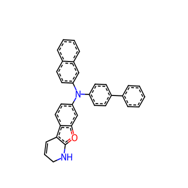 C1=Cc2c(oc3cc(N(c4ccc(-c5ccccc5)cc4)c4ccc5ccccc5c4)ccc23)NC1